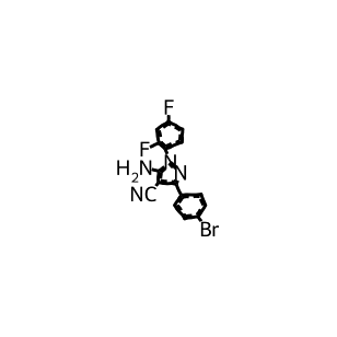 N#Cc1c(-c2ccc(Br)cc2)nn(-c2ccc(F)cc2F)c1N